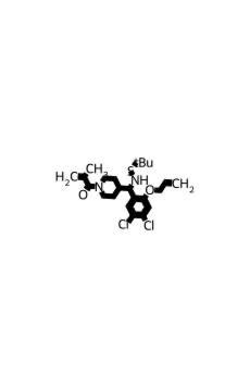 C=CCOc1cc(Cl)c(Cl)cc1C(NSC(C)(C)C)C1CCN(C(=O)C(=C)C)CC1